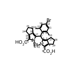 CCn1c(C(=O)O)c2c(c1C(c1c(C)cc(Br)cc1C)c1c3c(c(C(=O)O)n1CC)CCC3)CCC2